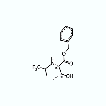 CC(N[C@H](C(=O)OCc1ccccc1)[C@@H](C)O)C(F)(F)F